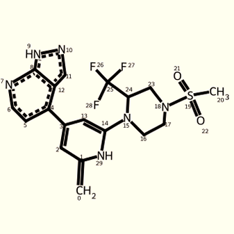 C=C1C=C(c2ccnc3[nH]ncc23)C=C(N2CCN(S(C)(=O)=O)CC2C(F)(F)F)N1